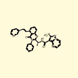 C[C@H](NC(=O)c1c(N)nn2cccnc12)c1nc2cccc(/C=C/c3cccnc3)c2c(=O)n1-c1ccccc1